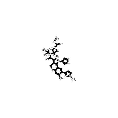 COc1cc2c(cc1-c1ccn(C)n1)-c1c(c(C(=O)N(C(O)(O)O)C3(C)CN(C(=O)OC(C)(C)C)C3)nn1-c1ccsc1)CO2